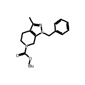 Cc1nn(Cc2ccccc2)c2c1CCN(C(=O)OC(C)(C)C)C2